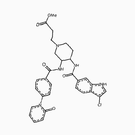 COC(=O)CCN1CCC(NC(=O)c2ccc3c(Cl)c[nH]c3c2)C(NC(=O)c2ccc(-n3ccccc3=O)cc2)C1